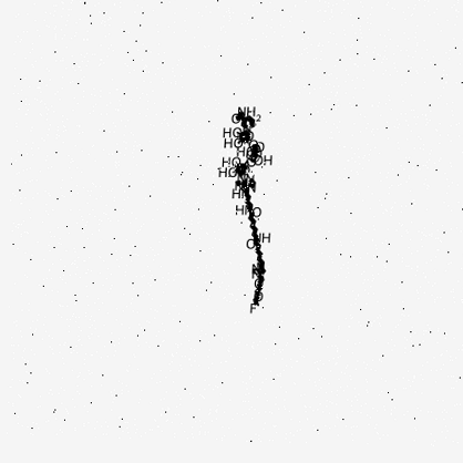 NC(=O)c1ccc[n+]([C@@H]2O[C@H](COP(=O)(O)OP(=O)(O)OC[C@H]3O[C@@H](n4cnc5c(NCCCNC(=O)CCCCCNC(=O)CCCCCn6cc(COCCOCCF)nn6)ncnc54)[C@H](O)[C@@H]3O)[C@@H](O)[C@H]2O)c1